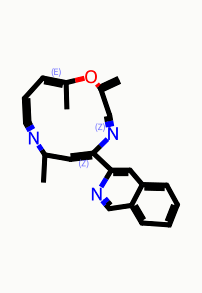 C=C1/C=N\C(c2cc3ccccc3cn2)=C/C(C)N=C=C/C=C(\C)O1